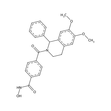 COc1cc2c(cc1OC)C(c1ccccc1)N(C(=O)c1ccc(C(=O)NO)cc1)CC2